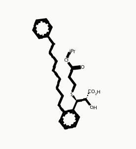 CC(C)OC(=O)CCS[C@H](c1ccccc1CCCCCCCCc1ccccc1)[C@@H](O)C(=O)O